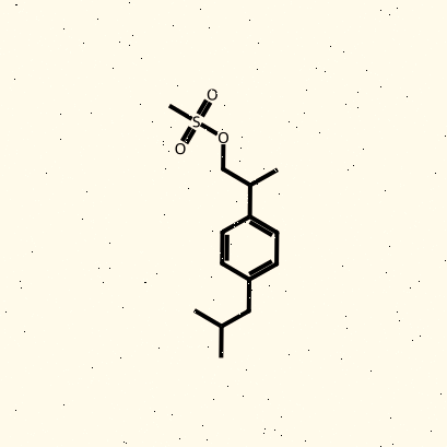 CC(C)Cc1ccc(C(C)COS(C)(=O)=O)cc1